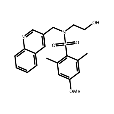 COc1cc(C)c(S(=O)(=O)N(CCO)Cc2cnc3ccccc3c2)c(C)c1